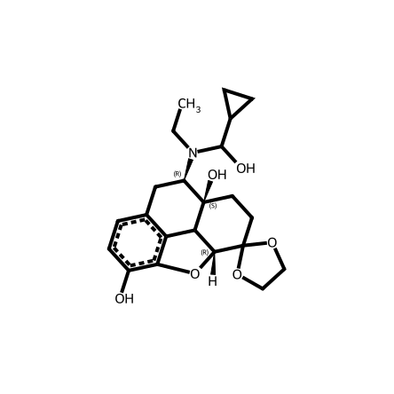 CCN(C(O)C1CC1)[C@@H]1Cc2ccc(O)c3c2C2[C@@H](O3)C3(CC[C@]21O)OCCO3